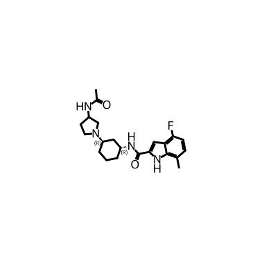 CC(=O)NC1CCN([C@@H]2CCC[C@@H](NC(=O)c3cc4c(F)ccc(C)c4[nH]3)C2)C1